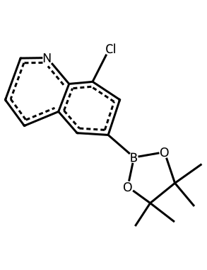 CC1(C)OB(c2cc(Cl)c3ncccc3c2)OC1(C)C